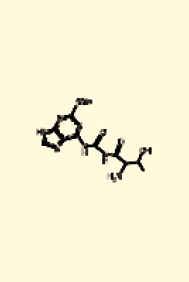 CSc1nc(NC(=O)NC(=O)C(N)C(C)O)c2nc[nH]c2n1